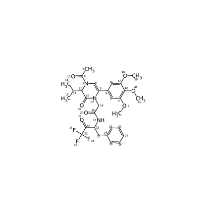 COc1cc(C2=CN(C(C)=O)C(C(C)C)C(=O)N2CC(=O)NC(Cc2ccccc2)C(=O)C(F)(F)F)cc(OC)c1OC